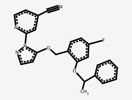 CC(Oc1cc(F)ccc1COc1ccnn1-c1cc(C#N)ccn1)c1ccccc1